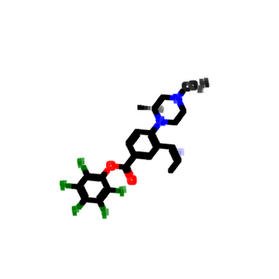 C/C=C\c1cc(C(=O)Oc2c(F)c(F)c(F)c(F)c2F)ccc1N1CCN(C(=O)O)C[C@H]1C